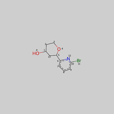 OC1CCOC(c2cccc(Br)n2)C1